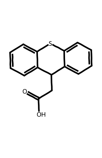 O=C(O)CC1c2ccccc2Sc2ccccc21